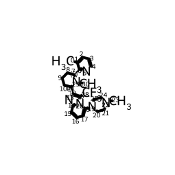 Cc1cccnc1[C@@H]1CCC[C@H](c2nc3cccc(N4CCN(C)CC4)n3c2C(F)(F)F)N1C